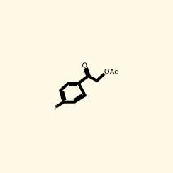 CC(=O)OCC(=O)c1ccc(I)cc1